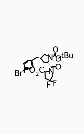 CC(C)(C)OC(=O)N1C[C@H](Cc2ccc(Br)cc2)C[C@H]1C(=O)N1CC(F)(F)CC1C(=O)O